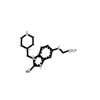 CC(C)(C)c1nc2cc(SCC(=O)O)ccc2n1CC1CCOCC1